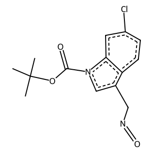 CC(C)(C)OC(=O)n1cc(CN=O)c2ccc(Cl)cc21